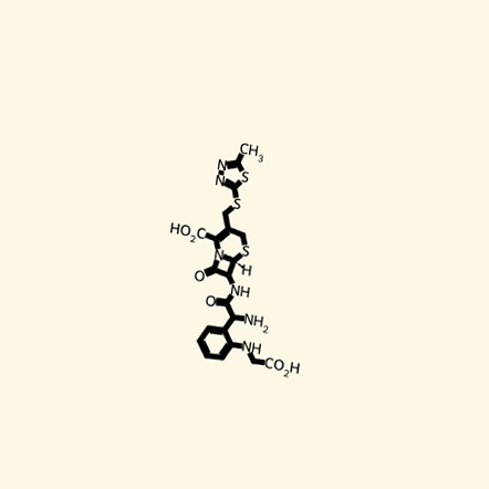 Cc1nnc(SCC2=C(C(=O)O)N3C(=O)C(NC(=O)C(N)c4ccccc4NCC(=O)O)[C@@H]3SC2)s1